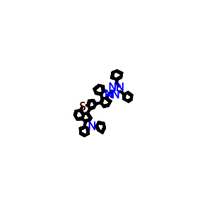 c1ccc(-c2nc(-c3ccccc3)nc(-n3c4ccccc4c4c(-c5ccc6c(c5)-c5cc7c(c8cccc(c58)S6)c5ccccc5n7-c5ccccc5)cccc43)n2)cc1